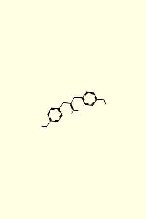 OCc1ccc(CC(Cc2ccc(CO)cc2)=C(O)O)cc1